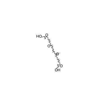 O=C(CCSCCC[S+]([O-])CCSCCSC(=O)CCSCCC(=O)SCCO)SCCO